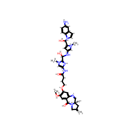 C=C1C[C@H]2C=Nc3cc(OCCCC(=O)Nc4cn(C)c(C(O)Nc5cc(C(O)n6ccc7cc(N)ccc76)n(C)c5)n4)c(OC)cc3C(=O)N2C1